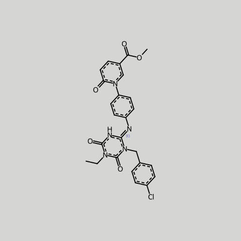 CCn1c(=O)[nH]/c(=N\c2ccc(-n3cc(C(=O)OC)ccc3=O)cc2)n(Cc2ccc(Cl)cc2)c1=O